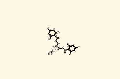 Cc1cc(C)c(NCCN(C)CCNc2c(C)cc(C)cc2C)c(C)c1.[Br-].[Br-].[Co+2]